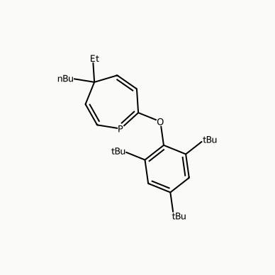 CCCCC1(CC)C=CP=C(Oc2c(C(C)(C)C)cc(C(C)(C)C)cc2C(C)(C)C)C=C1